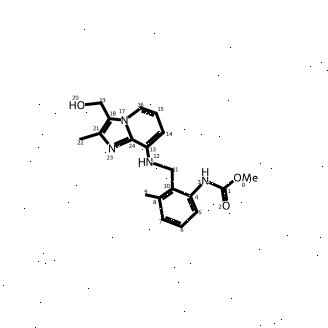 COC(=O)Nc1cccc(C)c1CNc1cccn2c(CO)c(C)nc12